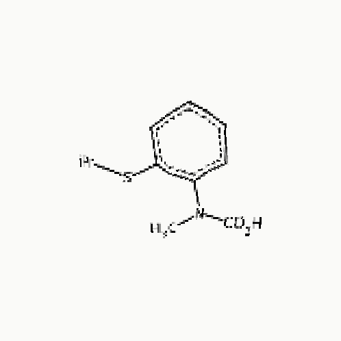 CC(C)Sc1ccccc1N(C)C(=O)O